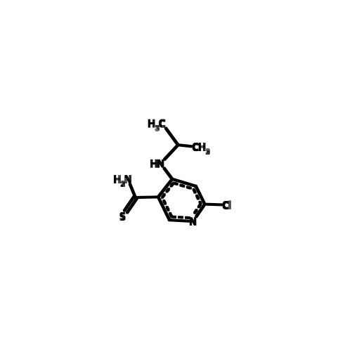 CC(C)Nc1cc(Cl)ncc1C(N)=S